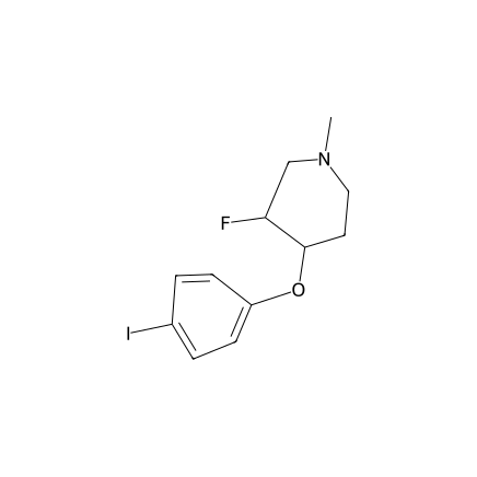 CN1CCC(Oc2ccc(I)cc2)C(F)C1